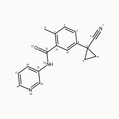 Cc1ccc(C2(C#N)CC2)cc1C(=O)Nc1cccnc1